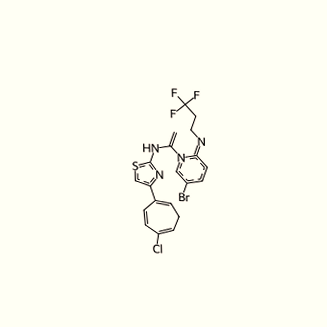 C=C(Nc1nc(C2=CCC=C(Cl)C=C2)cs1)n1cc(Br)cc/c1=N/CCC(F)(F)F